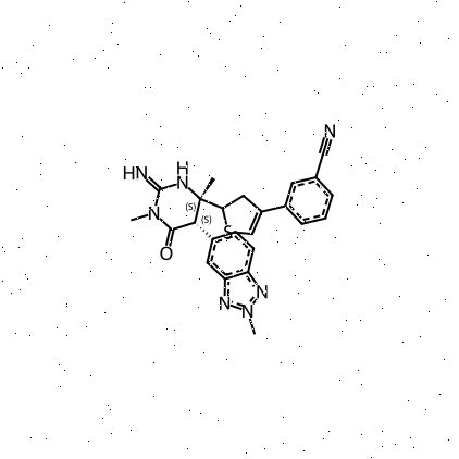 CN1C(=N)N[C@](C)(C2CC(c3cccc(C#N)c3)=CS2)[C@H](c2ccc3nn(C)nc3c2)C1=O